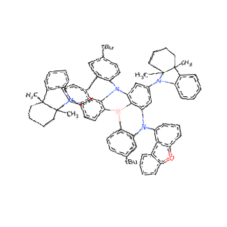 CC(C)(C)c1ccc(N2c3cc(N4c5ccccc5C5(C)CCCCC45C)ccc3B3c4ccc(C(C)(C)C)cc4N(c4cccc5oc6ccccc6c45)c4cc(N5c6ccccc6C6(C)CCCCC56C)cc2c43)c(-c2ccccc2)c1